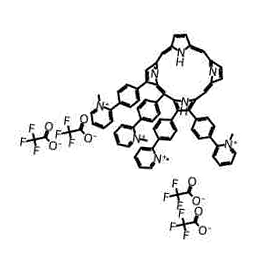 C[n+]1ccccc1-c1ccc(C2=Cc3cc4ccc(cc5nc(cc6[nH]c(c(-c7ccc(-c8cccc[n+]8C)cc7)c2n3)c(-c2ccc(-c3cccc[n+]3C)cc2)c6-c2ccc(-c3cccc[n+]3C)cc2)C=C5)[nH]4)cc1.O=C([O-])C(F)(F)F.O=C([O-])C(F)(F)F.O=C([O-])C(F)(F)F.O=C([O-])C(F)(F)F